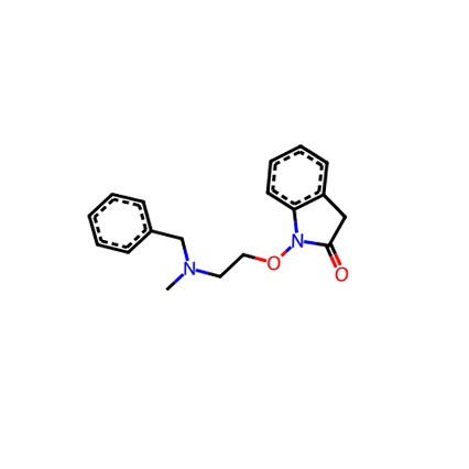 CN(CCON1C(=O)Cc2ccccc21)Cc1ccccc1